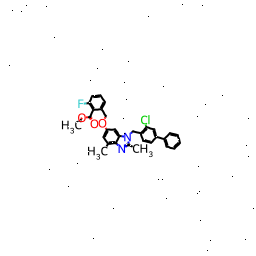 COC(=O)c1c(F)cccc1COc1cc(C)c2nc(C)n(Cc3ccc(-c4ccccc4)cc3Cl)c2c1